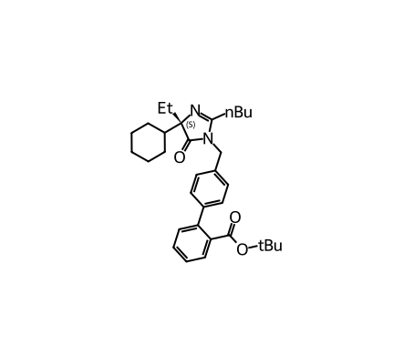 CCCCC1=N[C@@](CC)(C2CCCCC2)C(=O)N1Cc1ccc(-c2ccccc2C(=O)OC(C)(C)C)cc1